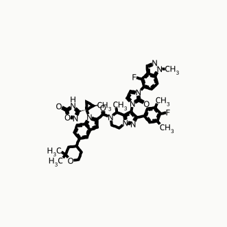 Cc1cc(-c2nn3c(c2-n2ccn(-c4ccc5c(cnn5C)c4F)c2=O)C(C)N(C(=O)c2cc4cc(C5CCOC(C)(C)C5)ccc4n2[C@@]2(c4noc(=O)[nH]4)C[C@@H]2C)CC3)cc(C)c1F